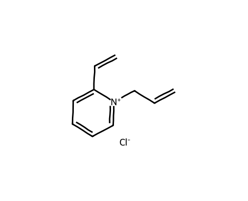 C=CC[n+]1ccccc1C=C.[Cl-]